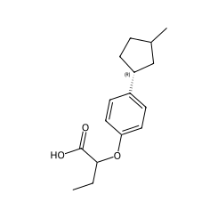 CCC(Oc1ccc([C@@H]2CCC(C)C2)cc1)C(=O)O